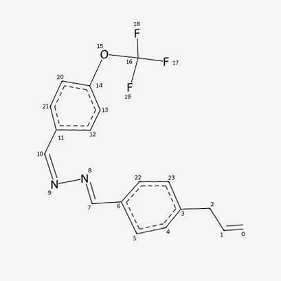 C=CCc1ccc(/C=N/N=C\c2ccc(OC(F)(F)F)cc2)cc1